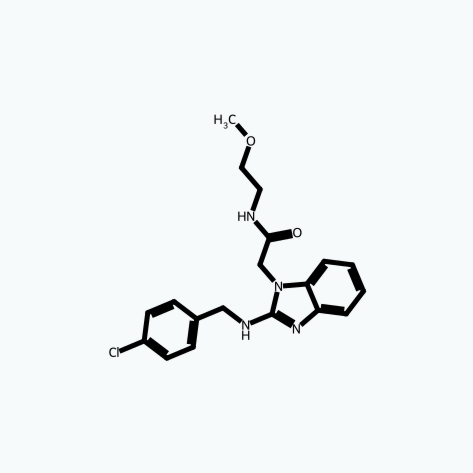 COCCNC(=O)Cn1c(NCc2ccc(Cl)cc2)nc2ccccc21